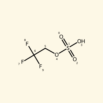 O=S(=O)(O)OCC(F)(F)F